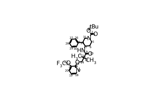 CC(C)(C)OC(=O)N1CCC(NC(=O)C(C)(C)COc2ncccc2OC(F)(F)F)C(c2ccccc2)C1